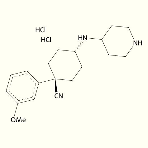 COc1cccc([C@]2(C#N)CC[C@H](NC3CCNCC3)CC2)c1.Cl.Cl